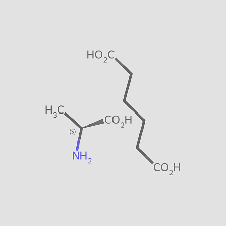 C[C@H](N)C(=O)O.O=C(O)CCCCC(=O)O